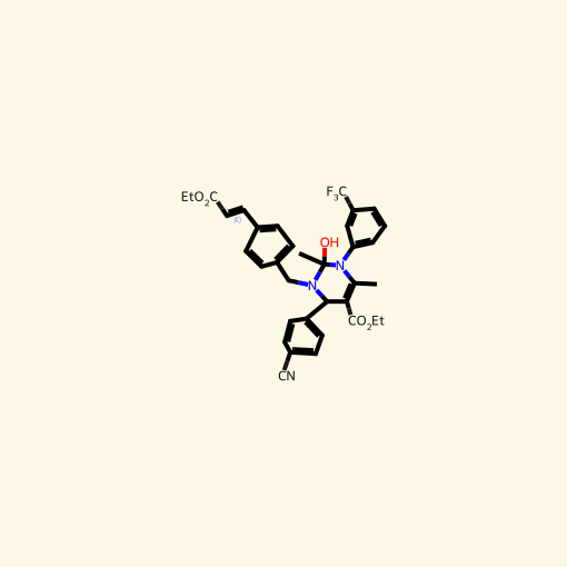 CCOC(=O)/C=C/c1ccc(CN2C(c3ccc(C#N)cc3)C(C(=O)OCC)=C(C)N(c3cccc(C(F)(F)F)c3)C2(C)O)cc1